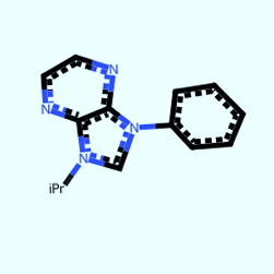 CC(C)[n+]1cn(-c2ccccc2)c2nccnc21